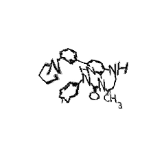 C[C@@H]1CCNc2ccc(-c3cccc(N4CCCC4)c3)nc2N1C(=O)Nc1cccnc1